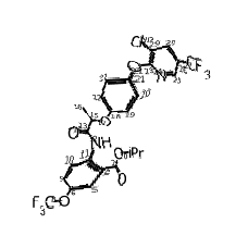 CC(C)OC(=O)c1cc(OC(F)(F)F)ccc1NC(=O)C(C)Oc1ccc(Oc2ncc(C(F)(F)F)cc2Cl)cc1